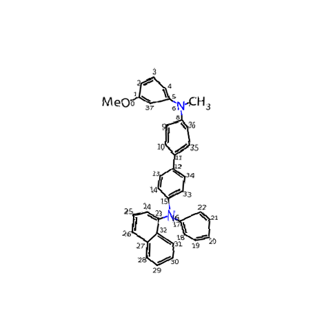 COc1cccc(N(C)c2ccc(-c3ccc(N(c4ccccc4)c4cccc5ccccc45)cc3)cc2)c1